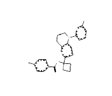 Cc1cccc(N2CCCc3nc(C4(NC(=O)c5ccc(Cl)cc5)CCC4)ccc32)n1